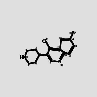 Clc1c(C2CCNCC2)cnc2ccc(Br)cc12